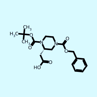 CC(C)(C)OC(=O)N1CCN(C(=O)OCc2ccccc2)C[C@@H]1CC(=O)O